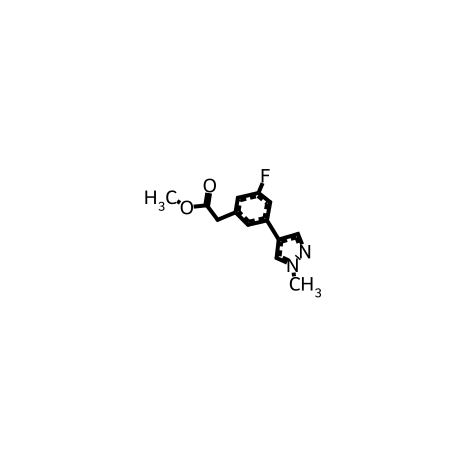 COC(=O)Cc1cc(F)cc(-c2cnn(C)c2)c1